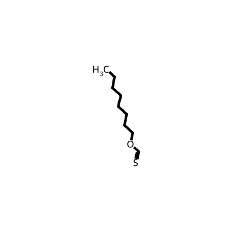 CCCCCCCCOC=S